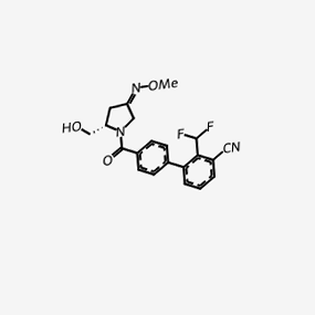 CO/N=C1/C[C@@H](CO)N(C(=O)c2ccc(-c3cccc(C#N)c3C(F)F)cc2)C1